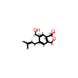 CC(C)=CCc1cc2c(cc1CO)C(=O)OC2